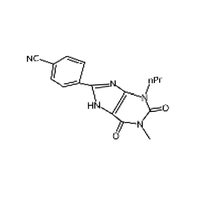 CCCn1c(=O)n(C)c(=O)c2[nH]c(-c3ccc(C#N)cc3)nc21